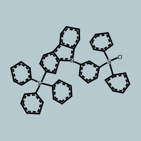 Cl[Si](c1ccccc1)(c1ccccc1)c1cccc(-n2c3ccccc3c3ccc([Si](c4ccccc4)(c4ccccc4)c4ccccc4)cc32)c1